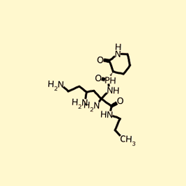 CCCNC(=O)C(N)(CC(N)CCN)N[PH](=O)[C@H]1CCCNC1=O